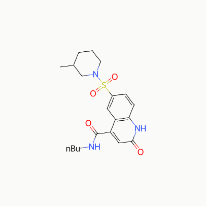 CCCCNC(=O)c1cc(=O)[nH]c2ccc(S(=O)(=O)N3CCCC(C)C3)cc12